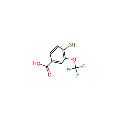 O=C(O)c1ccc(S)c(OC(F)(F)F)c1